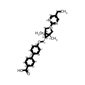 CCc1cnc(N2C[C@@]3(C)[C@H](COc4ccc(-c5ccc(C(=O)O)cc5)cc4)[C@@]3(C)C2)nc1